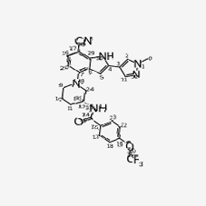 Cn1cc(-c2cc3c(N4CCC[C@@H](NC(=O)c5ccc(OC(F)(F)F)cc5)C4)ccc(C#N)c3[nH]2)cn1